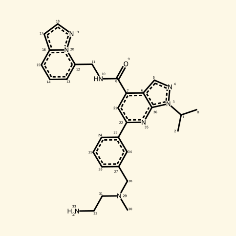 CC(C)n1ncc2c(C(=O)NCc3cccc4ccnn34)cc(-c3cccc(CN(C)CCN)c3)nc21